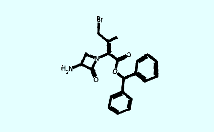 C/C(CBr)=C(\C(=O)OC(c1ccccc1)c1ccccc1)N1CC(N)C1=O